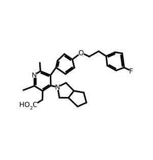 Cc1nc(C)c(-c2ccc(OCCc3ccc(F)cc3)cc2)c(N2CC3CCCC3C2)c1CC(=O)O